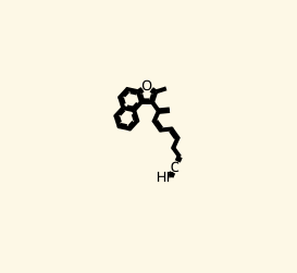 C=C(/C=C\C=C/CC=C=P)c1c(C)oc2ccc3ccccc3c12